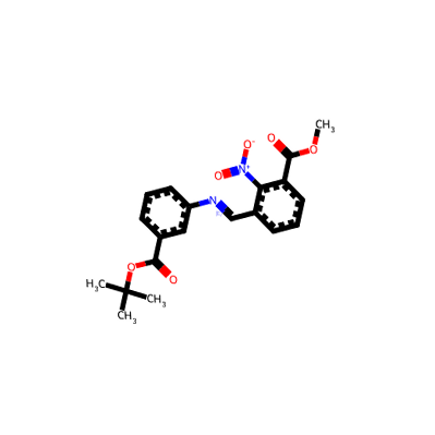 COC(=O)c1cccc(/C=N/c2cccc(C(=O)OC(C)(C)C)c2)c1[N+](=O)[O-]